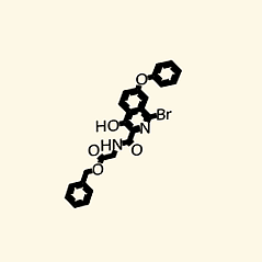 O=C(CNC(=O)c1nc(Br)c2cc(Oc3ccccc3)ccc2c1O)OCc1ccccc1